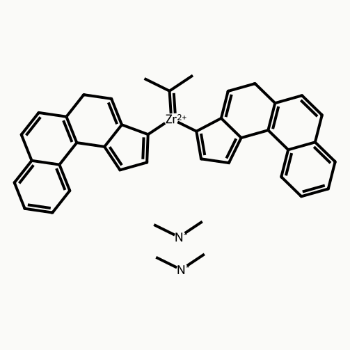 C[C](C)=[Zr+2]([C]1=CC=C2C1=CCc1ccc3ccccc3c12)[C]1=CC=C2C1=CCc1ccc3ccccc3c12.C[N-]C.C[N-]C